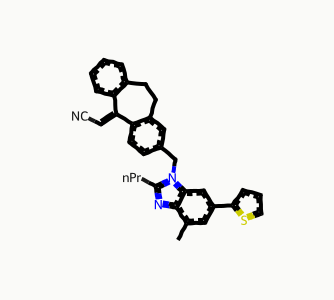 CCCc1nc2c(C)cc(-c3cccs3)cc2n1Cc1ccc2c(c1)CCc1ccccc1C2=CC#N